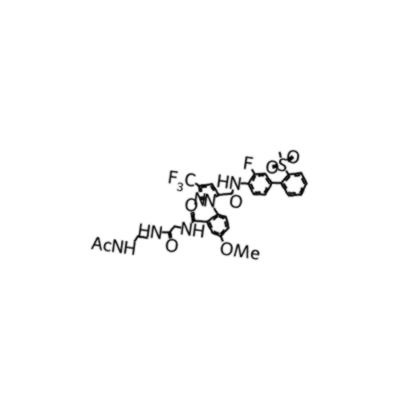 COc1ccc(-n2nc(C(F)(F)F)cc2C(=O)Nc2ccc(-c3ccccc3S(C)(=O)=O)cc2F)c(C(=O)NCC(=O)NCCNC(C)=O)c1